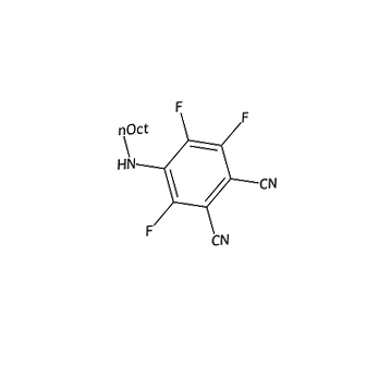 CCCCCCCCNc1c(F)c(F)c(C#N)c(C#N)c1F